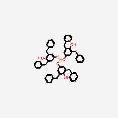 Oc1c(Cc2ccccc2)cc(OP(Oc2cc(Cc3ccccc3)c(O)c(Cc3ccccc3)c2)Oc2cc(Cc3ccccc3)c(O)c(Cc3ccccc3)c2)cc1Cc1ccccc1